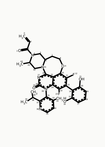 C=CC(=O)N1CC2CCOc3c(F)c(-c4c(O)cccc4O)c(F)c4c3c(nc(=O)n4-c3c(C)ccnc3C(C)C)N2CC1C